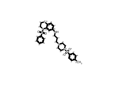 Cc1ccc(S(=O)(=O)N2CCN(CCCNc3ccc4c(c3)N(S(=O)(=O)c3ccccc3)CCS4)CC2)cc1